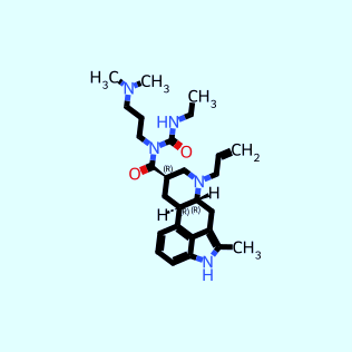 C=CCN1C[C@H](C(=O)N(CCCN(C)C)C(=O)NCC)C[C@@H]2c3cccc4[nH]c(C)c(c34)C[C@H]21